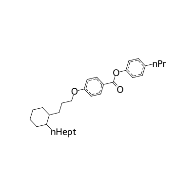 CCCCCCCC1CCCCC1CCCOc1ccc(C(=O)Oc2ccc(CCC)cc2)cc1